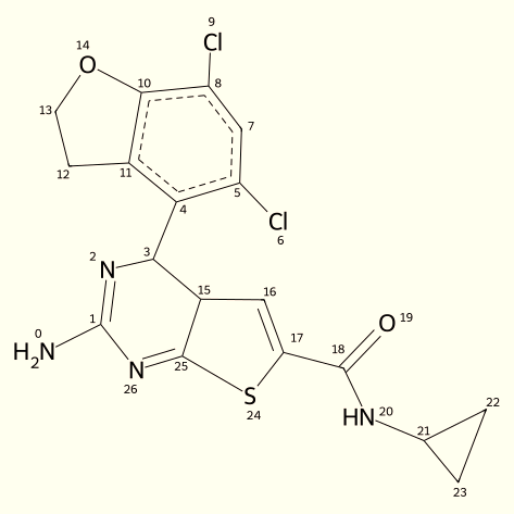 NC1=NC(c2c(Cl)cc(Cl)c3c2CCO3)C2C=C(C(=O)NC3CC3)SC2=N1